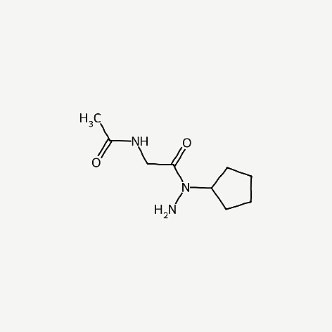 CC(=O)NCC(=O)N(N)C1CCCC1